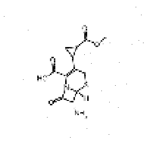 COC(=O)C1CC1C1=C(C(=O)O)N2C(=O)[C@@H](N)[C@H]2SC1